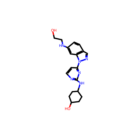 OCCNc1ccc2cnn(-c3ccnc(NC4CCC(O)CC4)n3)c2c1